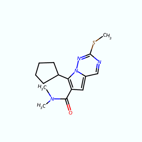 CSc1ncc2cc(C(=O)N(C)C)c(C3CCCC3)n2n1